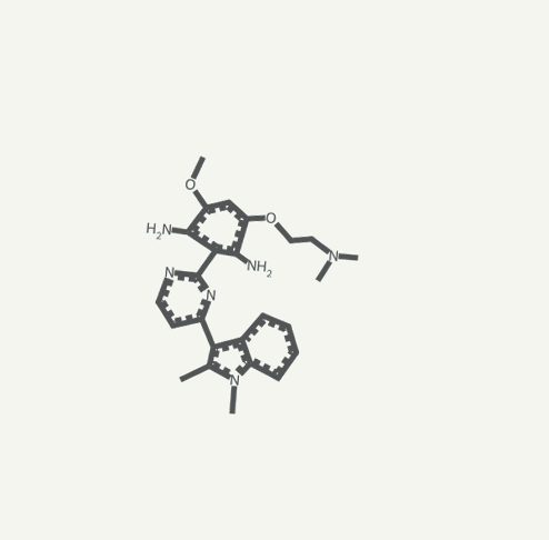 COc1cc(OCCN(C)C)c(N)c(-c2nccc(-c3c(C)n(C)c4ccccc34)n2)c1N